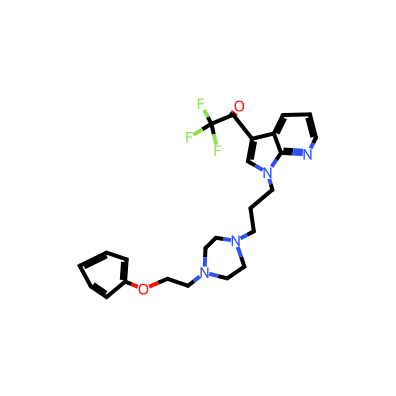 O=C(c1cn(CCCN2CCN(CCOc3ccccc3)CC2)c2ncccc12)C(F)(F)F